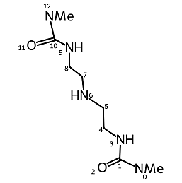 CNC(=O)NCCNCCNC(=O)NC